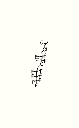 C[PH](=O)OCC(F)(F)C(F)(F)OCC(F)(F)C(F)(F)C(F)(F)F